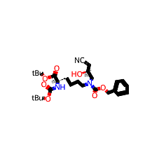 CC(C)(C)OC(=O)N[C@@H](CCCCN(C[C@@H](O)CC#N)C(=O)OCc1ccccc1)C(=O)OC(C)(C)C